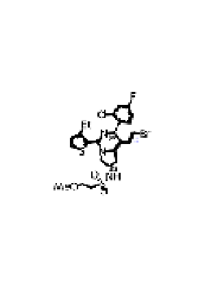 CCc1ccsc1C1=N[C@@H](c2ccc(F)cc2Cl)C(/C=C/Br)=C2C[C@H](NS(=O)(=O)CCOC)CN12